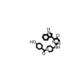 O=C(C1CCC(O)CC1)N1CCC(Nc2ncc(Cl)c(-c3c[nH]c4ccccc34)n2)CC1